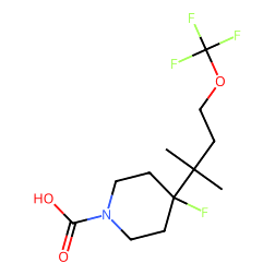 CC(C)(CCOC(F)(F)F)C1(F)CCN(C(=O)O)CC1